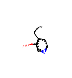 CC(C)Cc1ccncc1O